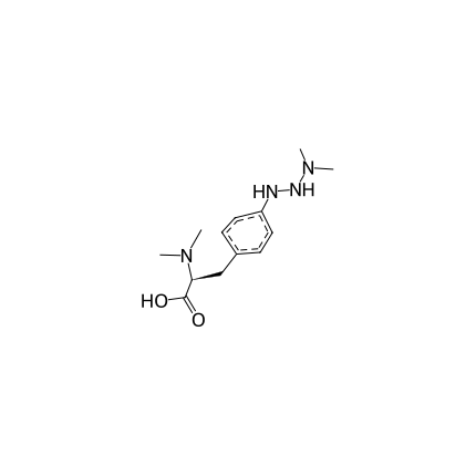 CN(C)NNc1ccc(C[C@@H](C(=O)O)N(C)C)cc1